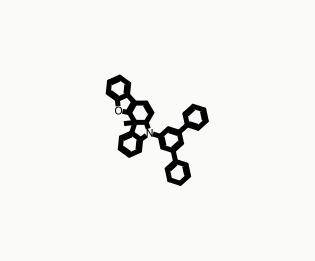 CC12c3ccccc3N(c3cc(C4=CCCC=C4)cc(-c4ccccc4)c3)C1C=Cc1c2oc2ccccc12